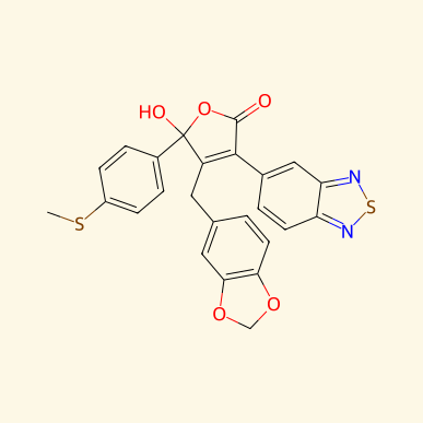 CSc1ccc(C2(O)OC(=O)C(c3ccc4nsnc4c3)=C2Cc2ccc3c(c2)OCO3)cc1